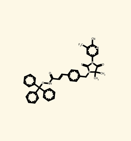 CC1(C)C(=O)N(c2cnc(C#N)c(C(F)(F)F)c2)C(=S)N1Cc1ccc(/C=C/C(=O)NOC(c2ccccc2)(c2ccccc2)c2ccccc2)cc1